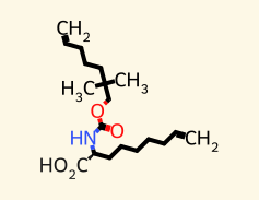 C=CCCCCC[C@H](NC(=O)OCC(C)(C)CCCC=C)C(=O)O